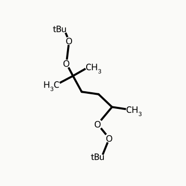 CC(CCC(C)(C)OOC(C)(C)C)OOC(C)(C)C